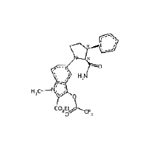 CCOC(=O)c1c(OC(=O)C(F)(F)F)c2cc(N3CC[C@@H](c4ccccc4)[C@H]3C(N)=O)ccc2n1C